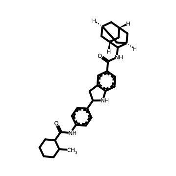 CC1CCCCC1C(=O)Nc1ccc(C2Cc3cc(C(=O)NC4[C@H]5C[C@@H]6C[C@@H](C[C@H]4C6)C5)ccc3N2)cc1